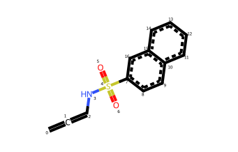 C=C=CNS(=O)(=O)c1ccc2ccccc2c1